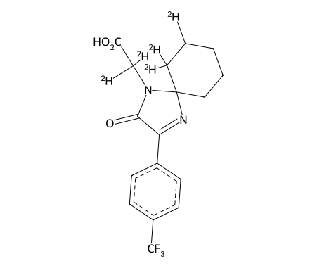 [2H]C1CCCC2(N=C(c3ccc(C(F)(F)F)cc3)C(=O)N2C([2H])([2H])C(=O)O)C1([2H])[2H]